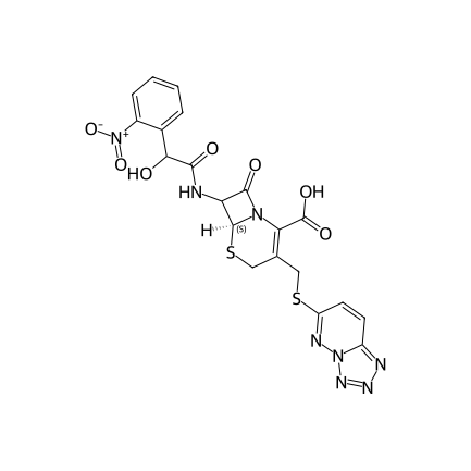 O=C(O)C1=C(CSc2ccc3nnnn3n2)CS[C@H]2C(NC(=O)C(O)c3ccccc3[N+](=O)[O-])C(=O)N12